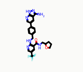 Nc1n[nH]c2ncc(-c3ccc(CNc4ncc(C(F)(F)F)cc4C(=O)NCC4CCCO4)cc3)cc12